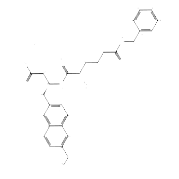 CCc1ccc2cc(C[C@@H](CC(N)=O)OC(=O)[C@@H](N)CCCC(=O)OCc3ccccc3)ccc2c1.Cl